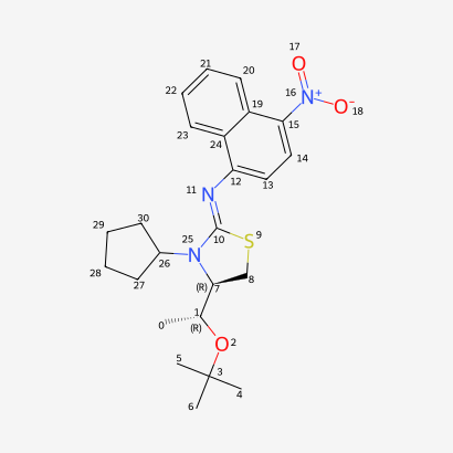 C[C@@H](OC(C)(C)C)[C@@H]1CSC(=Nc2ccc([N+](=O)[O-])c3ccccc23)N1C1CCCC1